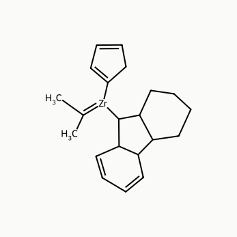 C[C](C)=[Zr]([C]1=CC=CC1)[CH]1C2C=CC=CC2C2CCCCC21